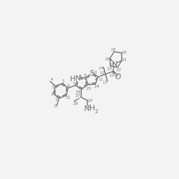 Cc1cc(C)cc(-c2[nH]c3sc(C(C)(C)C(=O)N4C5CCC4CC5)cc3c2[C@H](C)CN)c1